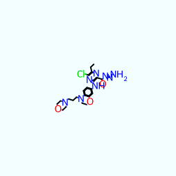 CCc1nc(C(=O)N=NN)c(Nc2ccc3c(c2)OCCN3CCCN2CCOCC2)nc1Cl